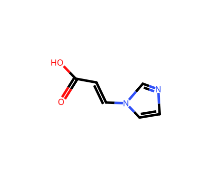 O=C(O)C=Cn1ccnc1